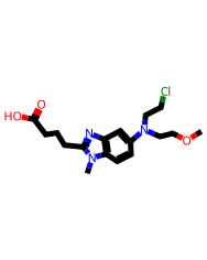 COCCN(CCCl)c1ccc2c(c1)nc(CCCC(=O)O)n2C